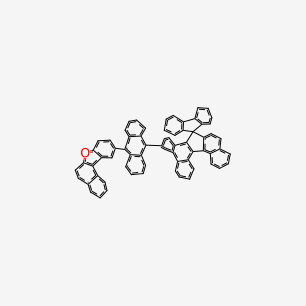 c1ccc2c(c1)-c1ccccc1C21c2ccc3ccccc3c2-c2c1c1ccc(-c3c4ccccc4c(-c4ccc5oc6ccc7ccccc7c6c5c4)c4ccccc34)cc1c1ccccc21